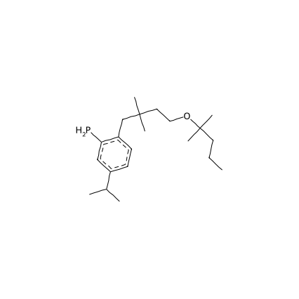 CCCC(C)(C)OCCC(C)(C)Cc1ccc(C(C)C)cc1P